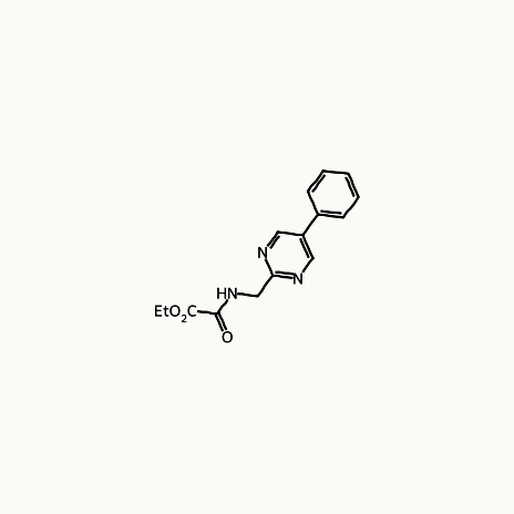 CCOC(=O)C(=O)NCc1ncc(-c2ccccc2)cn1